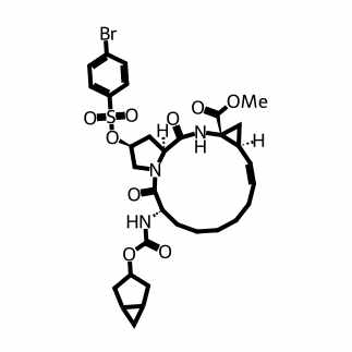 COC(=O)[C@@]12C[C@H]1/C=C\CCCCC[C@H](NC(=O)OC1CC3CC3C1)C(=O)N1C[C@@H](OS(=O)(=O)c3ccc(Br)cc3)C[C@H]1C(=O)N2